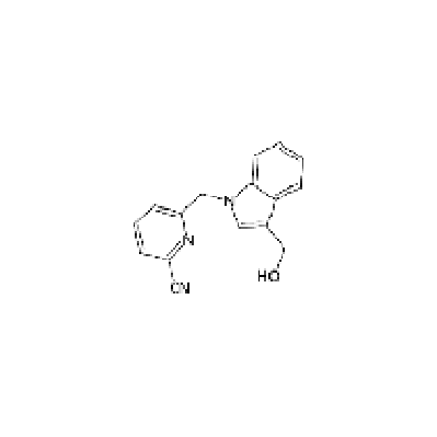 N#Cc1cccc(Cn2cc(CO)c3ccccc32)n1